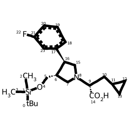 CC(C)(C)[Si](C)(C)OC[C@H]1CN([C@H](CC2CC2)C(=O)O)C[C@@H]1c1cccc(F)c1